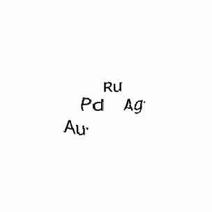 [Ag].[Au].[Pd].[Ru]